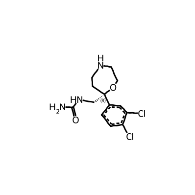 NC(=O)NC[C@]1(c2ccc(Cl)c(Cl)c2)CCNCCO1